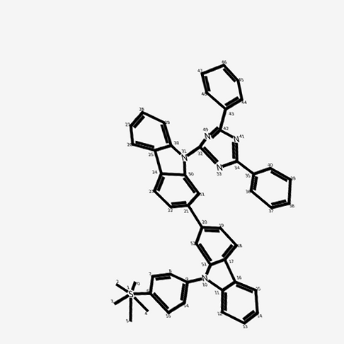 CS(C)(C)(C)(C)c1ccc(-n2c3ccccc3c3ccc(-c4ccc5c6ccccc6n(-c6nc(-c7ccccc7)nc(-c7ccccc7)n6)c5c4)cc32)cc1